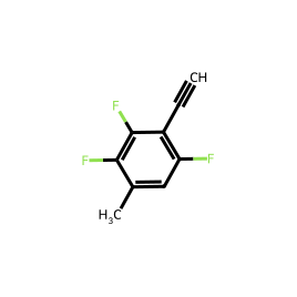 C#Cc1c(F)cc(C)c(F)c1F